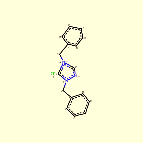 [Cl-].c1ccc(Cn2c[n+](Cc3ccccc3)cn2)cc1